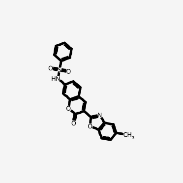 Cc1ccc2oc(-c3cc4ccc(NS(=O)(=O)c5ccccc5)cc4oc3=O)nc2c1